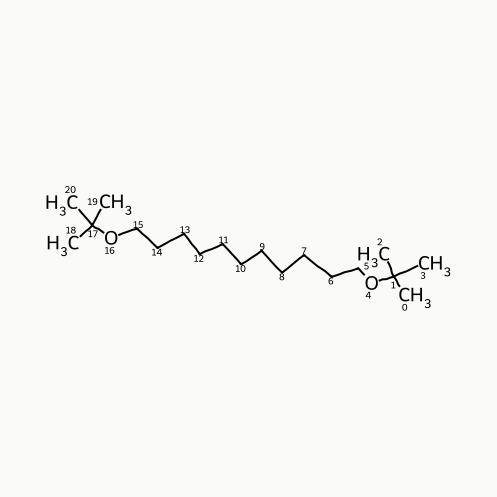 CC(C)(C)OCCCCCCCCCCCOC(C)(C)C